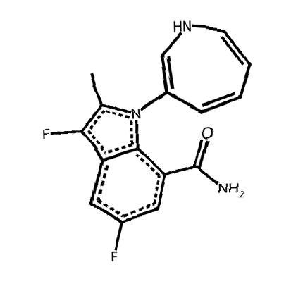 Cc1c(F)c2cc(F)cc(C(N)=O)c2n1C1=CNC=CC=C1